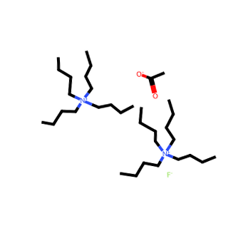 CC(=O)[O-].CCCC[N+](CCCC)(CCCC)CCCC.CCCC[N+](CCCC)(CCCC)CCCC.[F-]